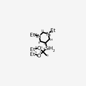 CCOC(C)(OCC)[SiH2]C1CN(CC)CN(CC)C1